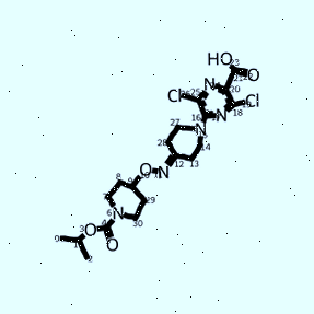 CC(C)OC(=O)N1CCC(ON=C2CCN(c3nc(Cl)c(C(=O)O)nc3Cl)CC2)CC1